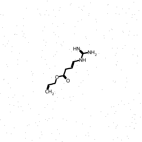 C=CCOC(=O)CC=CNC(=N)N